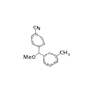 COC(c1ccc(C#N)cc1)c1cccc(C)c1